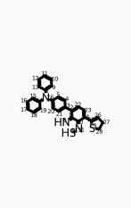 N=C1C(c2ccc(N(c3ccccc3)c3ccccc3)cc2)=CC=C(C2=CCCS2)/C1=N/S